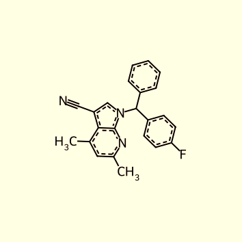 Cc1cc(C)c2c(C#N)cn(C(c3ccccc3)c3ccc(F)cc3)c2n1